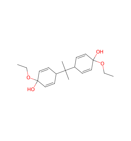 CCOC1(O)C=CC(C(C)(C)C2C=CC(O)(OCC)C=C2)C=C1